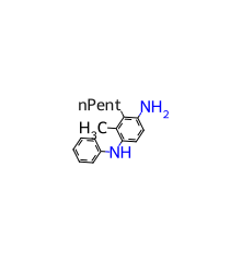 CCCCCc1c(N)ccc(Nc2ccccc2)c1C